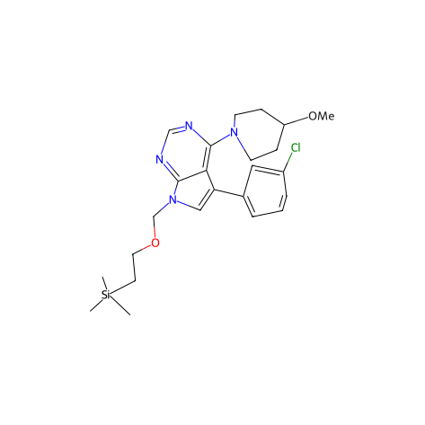 COC1CCN(c2ncnc3c2c(-c2cccc(Cl)c2)cn3COCC[Si](C)(C)C)CC1